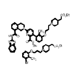 CCOC(=O)CC1CCN(CCCOc2cccc(-c3ccc(N4CCc5cccc(C(=O)Nc6nc7ccccc7s6)c5C4)nc3C(=O)OC(C)(C)C)c2C)CC1.CCOC(=O)CC1CCN(CCCOc2cccc(Br)c2C)CC1